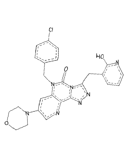 O=c1n(Cc2ccc(Cl)cc2)c2cc(N3CCOCC3)cnc2c2nnc(Cc3cccnc3O)n12